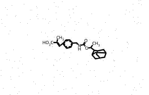 CC(=Cc1ccc(CNC(=O)OC(C)C2C3CC4CC(C3)CC2C4)cc1)C(=O)O